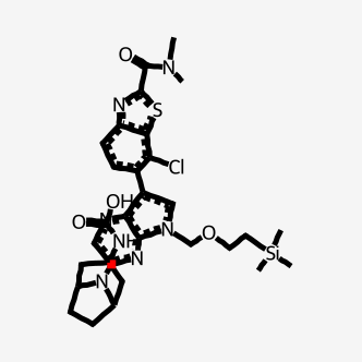 CN(C)C(=O)c1nc2ccc(-c3cn(COCC[Si](C)(C)C)c4nc(N5C6CCC5CC(NC(=O)O)C6)cnc34)c(Cl)c2s1